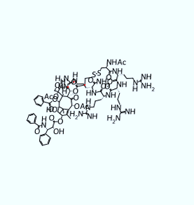 CC(=O)N[C@H](CSSCCCC(=O)O[C@H]1C[C@H]2OC[C@@]2(OC(C)=O)[C@H]2[C@H](OC(=O)c3ccccc3)[C@]3(O)C[C@H](OC(=O)[C@H](O)[C@@H](NC(=O)c4ccccc4)c4ccccc4)C(C)=C([C@@H](OC(C)=O)C(=O)[C@]12C)C3(C)C)C(=O)N[C@H](CCCNC(=N)N)C(=O)N[C@H](CCCNC(=N)N)C(=O)N[C@H](CCCNC(=N)N)C(=O)N[C@H](CCCNC(=N)N)C(N)=O